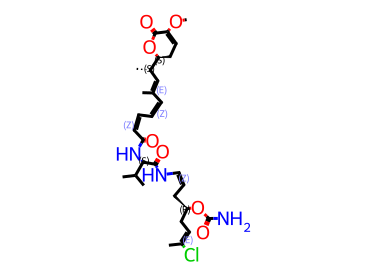 COC1=CC[C@@H]([C@@H](C)/C=C(C)/C=C\C=C/C(=O)N[C@H](C(=O)N/C=C\C[C@H](C/C=C(\C)Cl)OC(N)=O)C(C)C)OC1=O